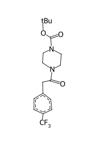 CC(C)(C)OC(=O)N1CCN(C(=O)Cc2ccc(C(F)(F)F)cc2)CC1